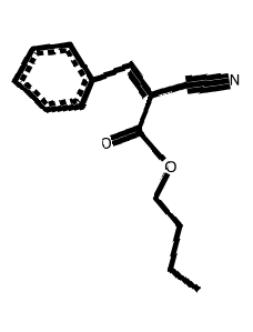 CCCCOC(=O)C(C#N)=Cc1ccccc1